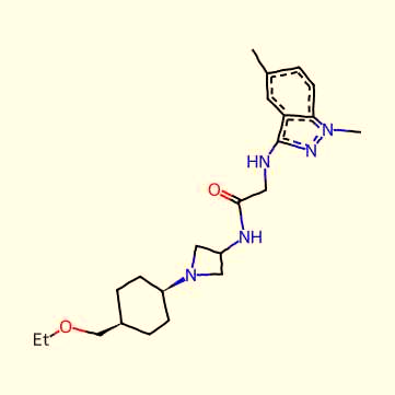 CCOC[C@H]1CC[C@@H](N2CC(NC(=O)CNc3nn(C)c4ccc(C)cc34)C2)CC1